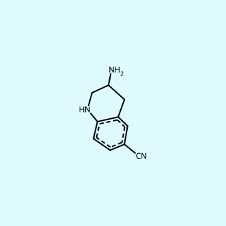 N#Cc1ccc2c(c1)CC(N)CN2